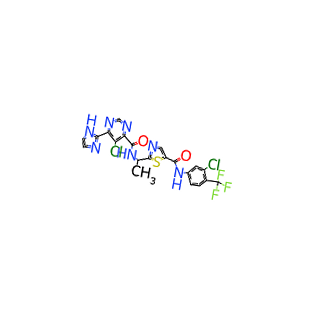 CC(NC(=O)c1ncnc(-c2ncc[nH]2)c1Cl)c1ncc(C(=O)Nc2ccc(C(F)(F)F)c(Cl)c2)s1